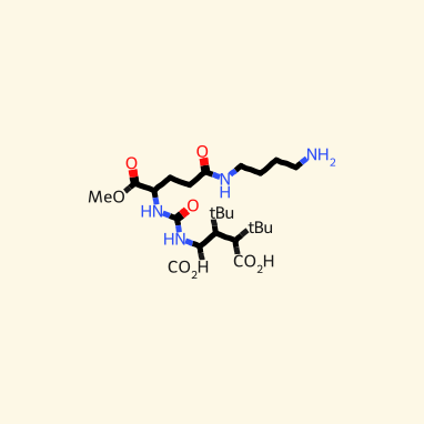 COC(=O)C(CCC(=O)NCCCCN)NC(=O)NC(C(=O)O)C(C(C(=O)O)C(C)(C)C)C(C)(C)C